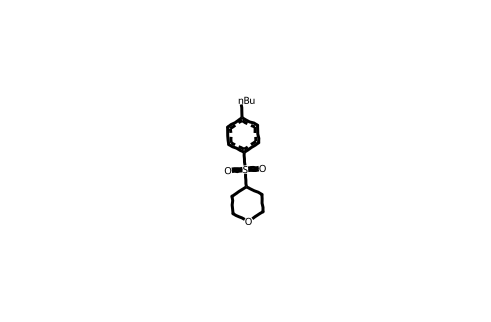 CCCCc1ccc(S(=O)(=O)C2CCOCC2)cc1